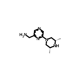 C[C@@H]1CN(c2cncc(CN)n2)C[C@H](C)N1